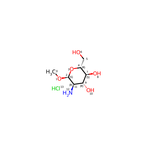 CO[C@H]1O[C@H](CO)[C@@H](O)[C@H](O)[C@H]1N.Cl